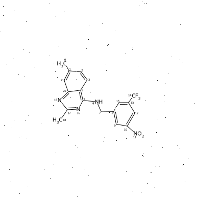 Cc1ccc2c(NCc3cc([N+](=O)[O-])cc(C(F)(F)F)c3)nc(C)nc2c1